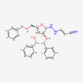 N#CC=CNNC1O[C@H](COCc2ccccc2)[C@@H](OCc2ccccc2)[C@@H]1OCc1ccccc1